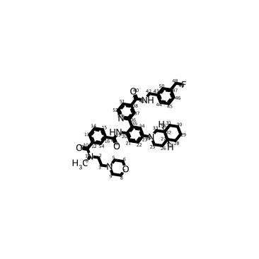 CN(CCN1CCOCC1)C(=O)c1cccc(C(=O)Nc2ccc(N3CC[C@H]4CCCC[C@@H]4C3)cc2-c2cc(C(=O)NCc3cccc(CF)c3)ccn2)c1